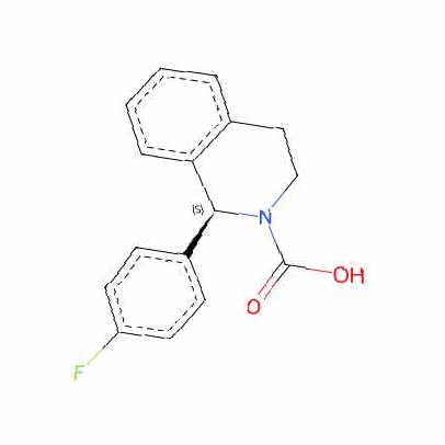 O=C(O)N1CCc2ccccc2[C@@H]1c1ccc(F)cc1